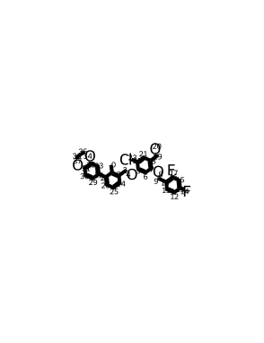 Cc1c(COc2cc(OCc3ccc(F)cc3F)c(C=O)cc2Cl)cccc1-c1ccc2c(c1)OCCO2